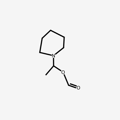 CC(OC=O)N1CCCCC1